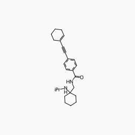 CC(C)NC1(CNC(=O)c2ccc(C#CC3=CCCCC3)cc2)CCCCC1